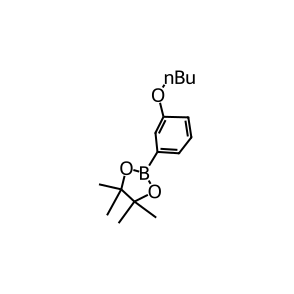 CCCCOc1cccc(B2OC(C)(C)C(C)(C)O2)c1